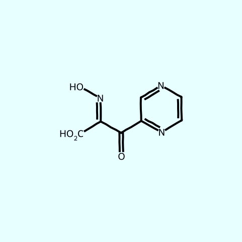 O=C(O)C(=NO)C(=O)c1cnccn1